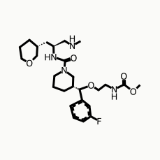 CNC[C@H](C[C@H]1CCCOC1)NC(=O)N1CCC[C@@H](C(OCCNC(=O)OC)c2cccc(F)c2)C1